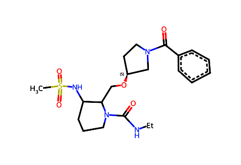 CCNC(=O)N1CCCC(NS(C)(=O)=O)C1CO[C@H]1CCN(C(=O)c2ccccc2)C1